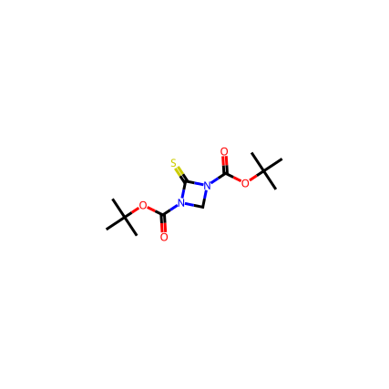 CC(C)(C)OC(=O)N1CN(C(=O)OC(C)(C)C)C1=S